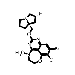 CN1CCOc2c(Cl)c(Br)cc3nc(OC[C@@]45CCCN4C[C@H](F)C5)nc1c23